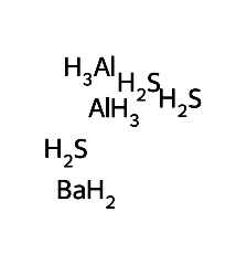 S.S.S.[AlH3].[AlH3].[BaH2]